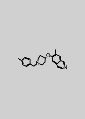 Cc1ccc(CN2CCC(Oc3cc4ccncc4cc3C)CC2)cc1